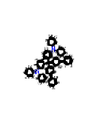 c1ccc(-c2ccc(C3(c4ccc(-c5ccccc5)cc4)c4cc(N(c5ccccc5)c5ccccc5)ccc4-c4ccc(N(c5ccccc5)c5ccccc5)cc43)cc2)cc1